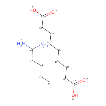 CCCCC(N)N.O=C(O)CCCCCCCC(=O)O